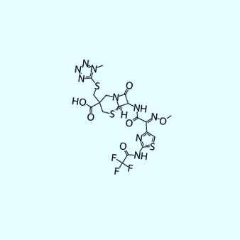 CON=C(C(=O)NC1C(=O)N2CC(CSc3nnnn3C)(C(=O)O)CS[C@H]12)c1csc(NC(=O)C(F)(F)F)n1